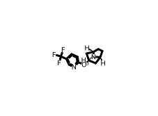 CN1[C@@H]2CC[C@H]1C[C@H](Oc1ccc(C(F)(F)F)cn1)C2